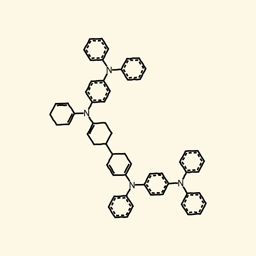 C1=CC(N(C2=CCC(C3C=CC(N(c4ccccc4)c4ccc(N(c5ccccc5)c5ccccc5)cc4)=CC3)CC2)c2ccc(N(c3ccccc3)c3ccccc3)cc2)=CCC1